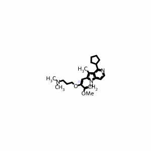 C=C(OC)/C(=C\c1[nH]c2ccnc(C3CCCC3)c2c1C)OCCCN(C)C